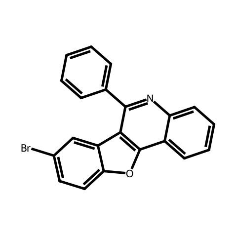 Brc1ccc2oc3c4ccccc4nc(-c4ccccc4)c3c2c1